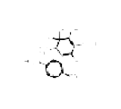 CC1=C(C(=O)O)C(Br)=CC(C(=O)O)C1(C)Br.O=C(O)c1ccc(C(=O)O)cc1